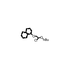 CCCCOC(Cl)COc1cccc2ccccc12